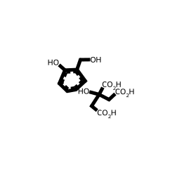 O=C(O)CC(O)(CC(=O)O)C(=O)O.OCc1ccccc1O